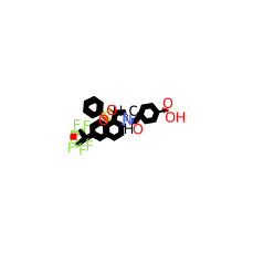 C[C@]1(C(=O)N2CC[C@]3(S(=O)(=O)c4ccccc4)c4ccc(C(F)(C(F)(F)F)C(F)(F)F)cc4CC[C@H]23)CC[C@H](C(=O)O)CC1